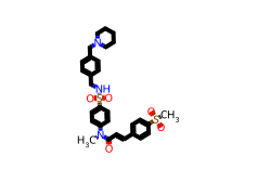 CN(C(=O)/C=C/c1ccc(S(C)(=O)=O)cc1)c1ccc(S(=O)(=O)NCc2ccc(CN3CCCCC3)cc2)cc1